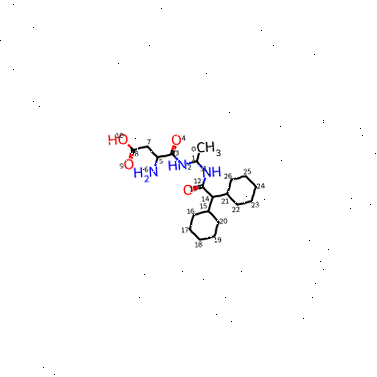 CC(NC(=O)C(N)CC(=O)O)NC(=O)C(C1CCCCC1)C1CCCCC1